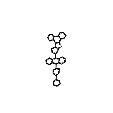 c1ccc(-c2ccc(-c3c4ccccc4c(-c4ccc5c(c4)sc4c6ccccc6c6ccccc6c54)c4ccccc34)cc2)cc1